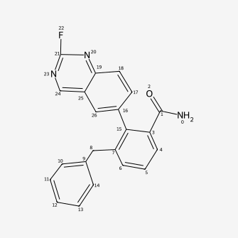 NC(=O)c1cccc(Cc2ccccc2)c1-c1ccc2nc(F)ncc2c1